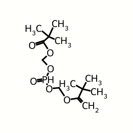 C=C(OCO[PH](=O)OCOC(=O)C(C)(C)C)C(C)(C)C